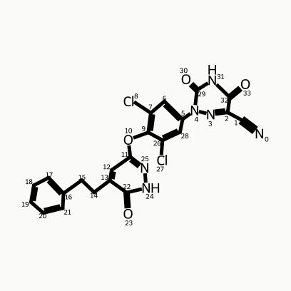 N#Cc1nn(-c2cc(Cl)c(Oc3cc(CCc4ccccc4)c(=O)[nH]n3)c(Cl)c2)c(=O)[nH]c1=O